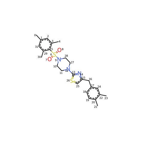 Cc1cc(C)c(S(=O)(=O)N2CCN(c3nc(Cc4ccc(C)c(C)c4)cs3)CC2)c(C)c1